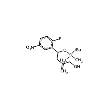 C=C(CO)CC(O[Si](C)(C)C(C)(C)C)c1cc([N+](=O)[O-])ccc1F